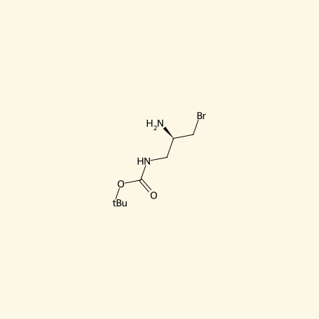 CC(C)(C)OC(=O)NC[C@@H](N)CBr